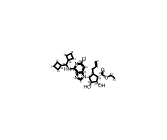 C=CCC1[C@@H](n2cnc3c(NC(C4CCC4)C4CCC4)nc(Cl)cc32)[C@H](O)[C@H](O)[C@H]1C(=O)OCC